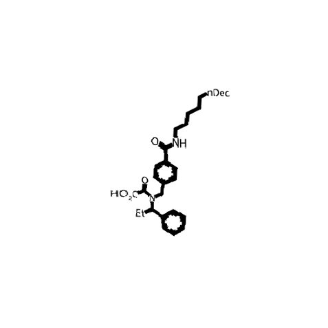 CCCCCCCCCCCCCCCNC(=O)c1ccc(CN(C(=O)C(=O)O)C(CC)c2ccccc2)cc1